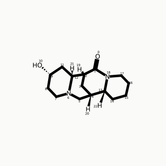 O=C1[C@@H]2C[C@@H](CN3CC[C@H](O)C[C@@H]23)[C@H]2CCCCN12